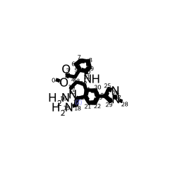 COC(=O)Cc1ccccc1NC1CCN(N)/C(=C\N)c2ccc(-c3cnn(C)c3)cc21